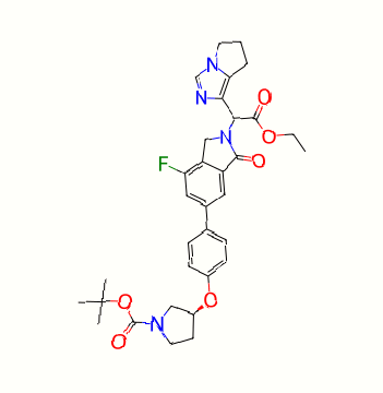 CCOC(=O)C(c1ncn2c1CCC2)N1Cc2c(F)cc(-c3ccc(O[C@H]4CCN(C(=O)OC(C)(C)C)C4)cc3)cc2C1=O